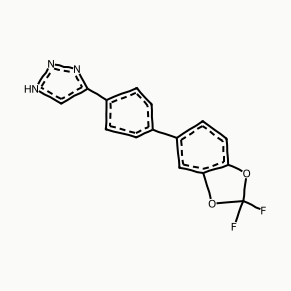 FC1(F)Oc2ccc(-c3ccc(-c4c[nH]nn4)cc3)cc2O1